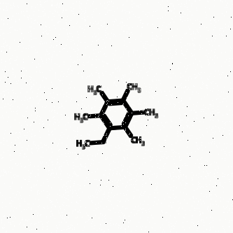 C[CH]c1c(C)c(C)c(C)c(C)c1C